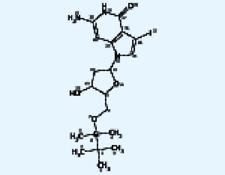 CC(C)(C)[Si](C)(C)OCC1OC(n2cc(I)c3c(=O)[nH]c(N)cc32)CC1O